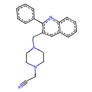 N#CCN1CCN(Cc2cc3ccccc3nc2-c2ccccc2)CC1